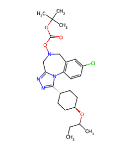 CCC(C)O[C@H]1CC[C@H](c2nnc3n2-c2ccc(Cl)cc2CN(OC(=O)OC(C)(C)C)C3)CC1